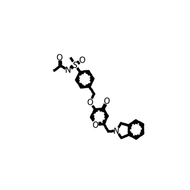 CC(=O)N=S(C)(=O)c1ccc(COc2coc(CN3Cc4ccccc4C3)cc2=O)cc1